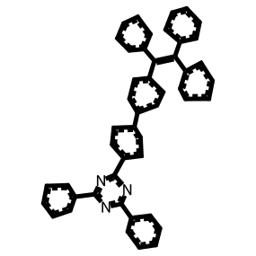 c1ccc(C(=C(c2ccccc2)c2ccc(-c3ccc(-c4nc(-c5ccccc5)nc(-c5ccccc5)n4)cc3)cc2)c2ccccc2)cc1